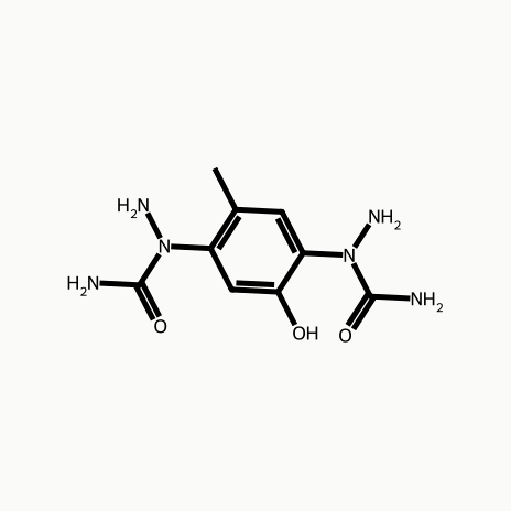 Cc1cc(N(N)C(N)=O)c(O)cc1N(N)C(N)=O